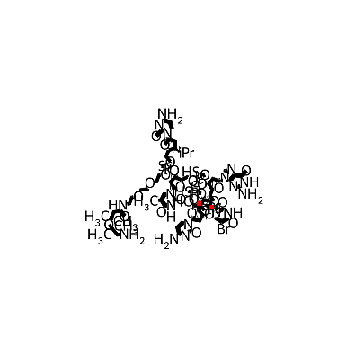 Cc1cn([C@H]2C[C@@H](OP(=S)(OCCOCCOCCNC(=O)CC(C)(C)OC(C)(C)CN)OCC3O[C@@H](n4ccc(N)nc4=O)C[C@H]3C(C)C)C(COP(=O)(S)O[C@@H]3C[C@H](n4cnc5c(=O)[nH]c(N)nc54)OC3COP(=S)(S)O[C@@H]3C[C@H](n4ccc(N)nc4=O)OC3COP(=O)(S)O[C@@H]3C[C@H](n4cc(Br)c(=O)[nH]c4=O)OC3CO)O2)c(=O)[nH]c1=O